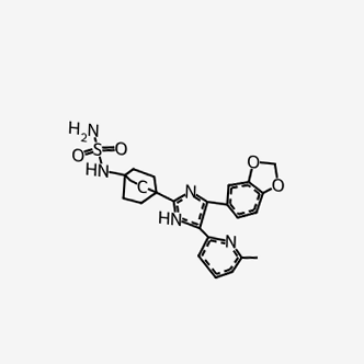 Cc1cccc(-c2[nH]c(C34CCC(NS(N)(=O)=O)(CC3)CC4)nc2-c2ccc3c(c2)OCO3)n1